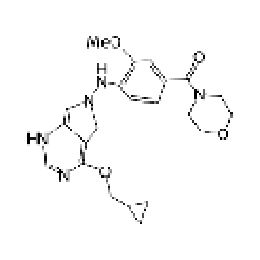 COc1cc(C(=O)N2CCOCC2)ccc1NN1C=C2NC=NC(OCC3CC3)=C2C1